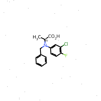 C[C@@H](C(=O)O)N(Cc1ccccc1)c1ccc(F)c(Cl)c1